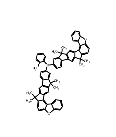 Cc1ccccc1N(c1ccc2c(c1)C(C)(C)c1cc3c(cc1-2)C(C)(C)c1ccc2oc4ccccc4c2c1-3)c1ccc2c(c1)C(C)(C)c1cc3c(cc1-2)C(C)(C)c1ccc2oc4ccccc4c2c1-3